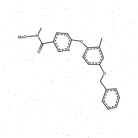 CON(C)C(=O)c1ccc(Oc2ccc(OCc3ccccc3)cc2C)nc1